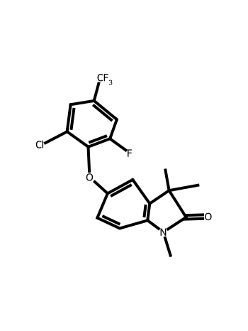 CN1C(=O)C(C)(C)c2cc(Oc3c(F)cc(C(F)(F)F)cc3Cl)ccc21